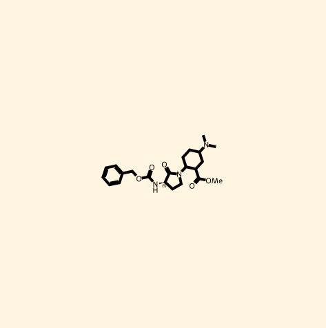 COC(=O)C1CC(N(C)C)CCC1N1CC[C@H](NC(=O)OCc2ccccc2)C1=O